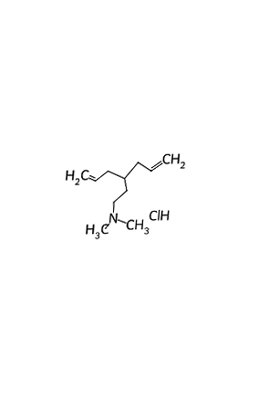 C=CCC(CC=C)CCN(C)C.Cl